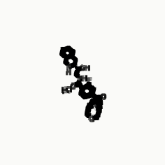 Cl.O=C(NCC(O)[C@@H]1Cc2ccccc2CN1)c1ccc(C(=O)N2C3CCC2COC3)cc1F